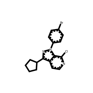 Clc1nccc2c(C3CCCC3)nn(-c3ccc(Br)cc3)c12